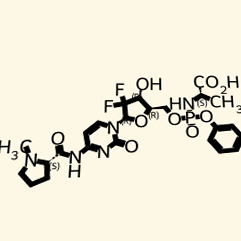 C[C@H](NP(=O)(OC[C@H]1O[C@@H](n2ccc(NC(=O)[C@@H]3CCCN3C)nc2=O)C(F)(F)[C@@H]1O)Oc1ccccc1)C(=O)O